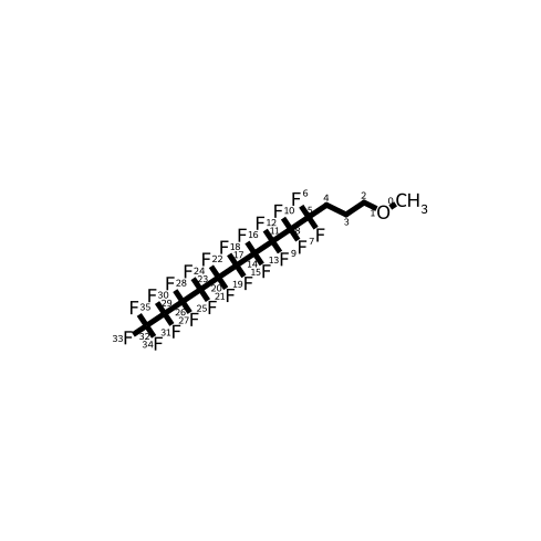 COCCCC(F)(F)C(F)(F)C(F)(F)C(F)(F)C(F)(F)C(F)(F)C(F)(F)C(F)(F)C(F)(F)C(F)(F)F